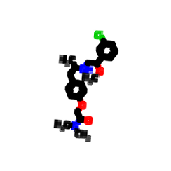 COC(CNC(C)Cc1ccc(OCC(=O)N(C)C)cc1)c1cccc(Cl)c1